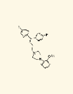 CCOc1cccnc1N1CCN(CCCC(c2ccc(F)cc2)c2ccc(F)cc2)CC1